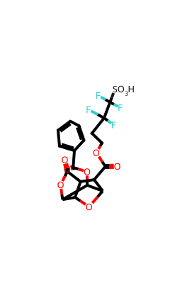 O=C(OC1C2OC(=O)C3C2OC1C3C(=O)OCCC(F)(F)C(F)(F)S(=O)(=O)O)c1ccccc1